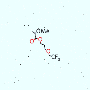 COC(C)C(=O)OCCCOCC(F)(F)F